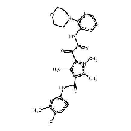 Cc1cc(NC(=O)c2c(C)c(C(=O)C(=O)Nc3cccnc3N3CCOCC3)n(C)c2C)ccc1F